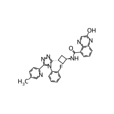 Cc1ccc(-c2nnc([C@H]3C[C@H](NC(=O)c4cccc5nc(O)cnc45)C3)n2-c2ccccc2F)nc1